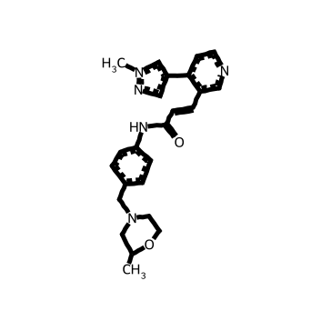 CC1CN(Cc2ccc(NC(=O)/C=C/c3cnccc3-c3cnn(C)c3)cc2)CCO1